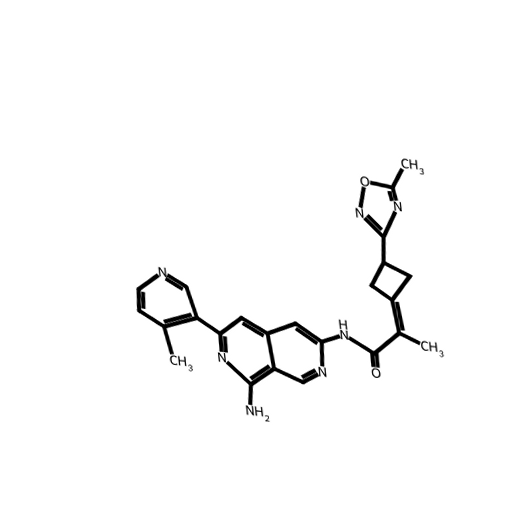 CC(C(=O)Nc1cc2cc(-c3cnccc3C)nc(N)c2cn1)=C1CC(c2noc(C)n2)C1